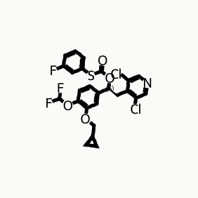 O=C(O[C@@H](Cc1c(Cl)cncc1Cl)c1ccc(OC(F)F)c(OCC2CC2)c1)Sc1cccc(F)c1